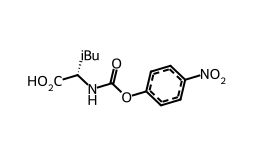 CCC(C)[C@H](NC(=O)Oc1ccc([N+](=O)[O-])cc1)C(=O)O